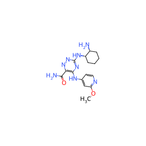 COc1cc(Nc2nc(N[C@@H]3CCCC[C@@H]3N)nnc2C(N)=O)ccn1